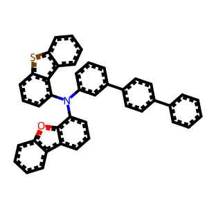 c1ccc(-c2ccc(-c3cccc(N(c4cccc5c4oc4ccccc45)c4cccc5sc6ccccc6c45)c3)cc2)cc1